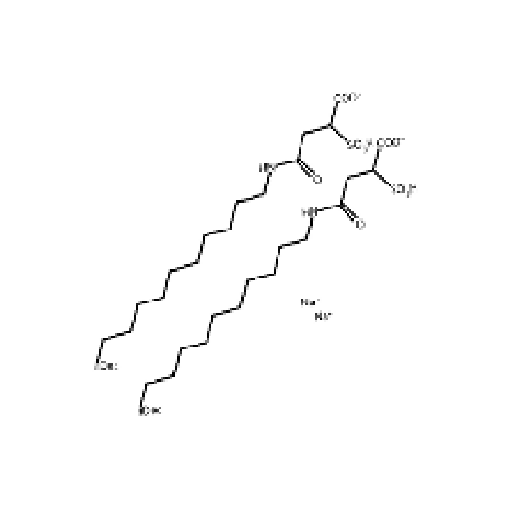 CCCCCCCCCCCCCCCCCCCCNC(=O)CC(C(=O)[O-])S(=O)(=O)O.CCCCCCCCCCCCCCCCCCCCNC(=O)CC(C(=O)[O-])S(=O)(=O)O.[Na+].[Na+]